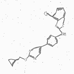 Clc1cccc2sc(Nc3ccc(-c4cnc(OCC5CC5)nc4)cc3)nc12